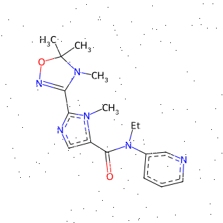 CCN(C(=O)c1cnc(C2=NOC(C)(C)N2C)n1C)c1cccnc1